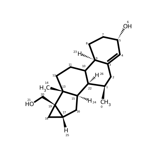 C[C@@H]1CC2=C[C@@H](O)CC[C@@H]2C2CC[C@]3(C)[C@H](C[C@@H]4C[C@@]43CO)[C@@H]21